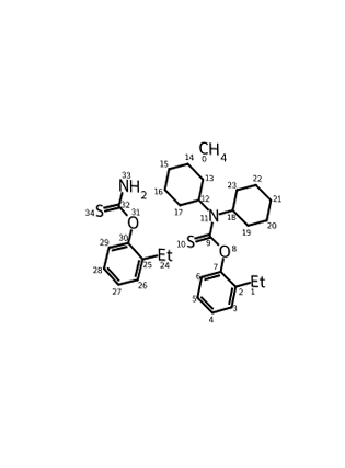 C.CCc1ccccc1OC(=S)N(C1CCCCC1)C1CCCCC1.CCc1ccccc1OC(N)=S